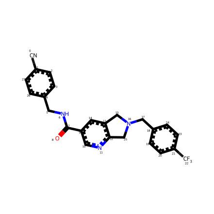 N#Cc1ccc(CNC(=O)c2cnc3c(c2)CN(Cc2ccc(C(F)(F)F)cc2)C3)cc1